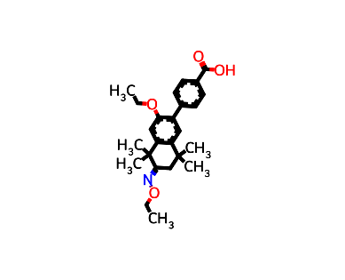 CCON=C1CC(C)(C)c2cc(-c3ccc(C(=O)O)cc3)c(OCC)cc2C1(C)C